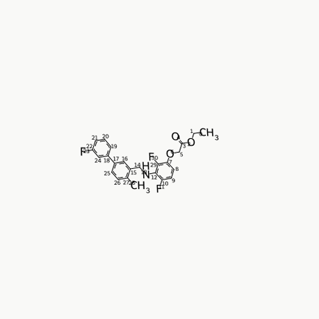 CCOC(=O)COc1ccc(F)c(NCc2cc(-c3cccc(F)c3)ccc2C)c1F